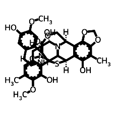 COc1cc2c(cc1O)CCN[C@]21CS[C@@H]2c3c(O)c(C)c4c(c3[C@H](COC1=O)N1C2C2c3c(cc(C)c(OC)c3O)C[C@@H]([C@@H]1O)N2C)OCO4